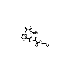 C=C(C)C(=O)OCCCC.C=C(C)C(=O)OCCO.C=C(C)C1=NCCO1